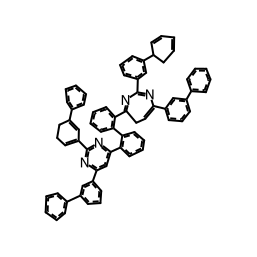 C1=CCC(c2cccc(C3=NC(c4cccc(-c5ccccc5)c4)=CCC(c4ccccc4-c4ccccc4-c4cc(-c5cccc(-c6ccccc6)c5)nc(C5=CCCC(c6ccccc6)=C5)n4)=N3)c2)C=C1